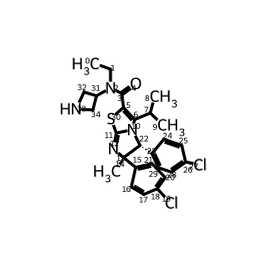 CCN(C(=O)C1=C(C(C)C)N2C(=N[C@@](C)(c3ccc(Cl)cc3)[C@H]2c2ccc(Cl)cc2)S1)C1CNC1